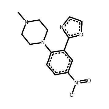 CN1CCN(c2ccc([N+](=O)[O-])cc2-c2ncco2)CC1